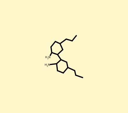 CCCC1CCC(N)C(C2CC(CCC)CCC2N)C1